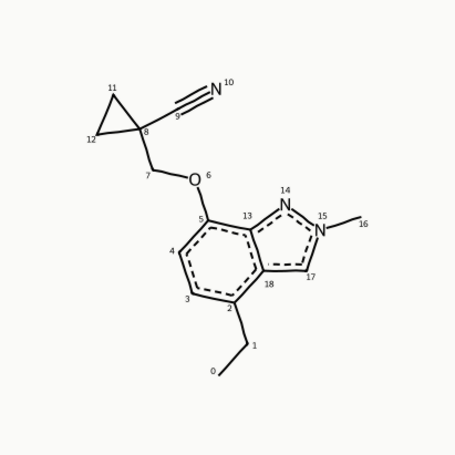 CCc1ccc(OCC2(C#N)CC2)c2nn(C)cc12